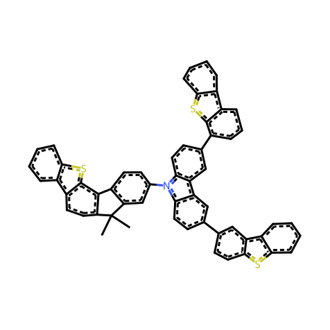 CC1(C)c2cc(-n3c4ccc(-c5ccc6sc7ccccc7c6c5)cc4c4cc(-c5cccc6c5sc5ccccc56)ccc43)ccc2-c2c1ccc1c2sc2ccccc21